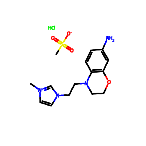 CS(=O)(=O)[O-].C[n+]1ccn(CCN2CCOc3cc(N)ccc32)c1.Cl